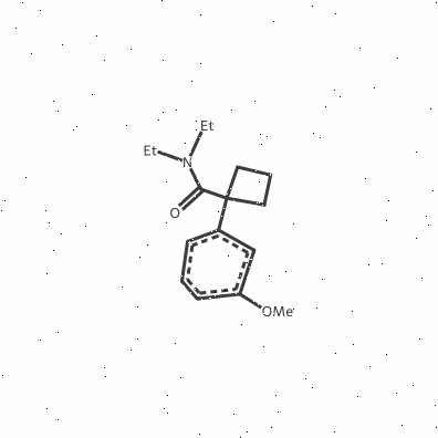 CCN(CC)C(=O)C1(c2cccc(OC)c2)CCC1